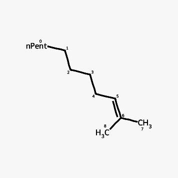 CCCCCCCCCC=C(C)C